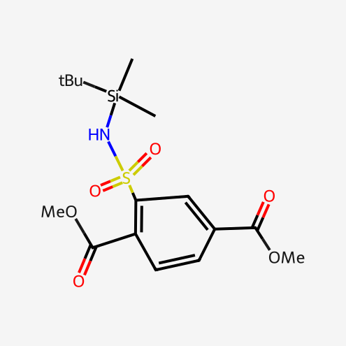 COC(=O)c1ccc(C(=O)OC)c(S(=O)(=O)N[Si](C)(C)C(C)(C)C)c1